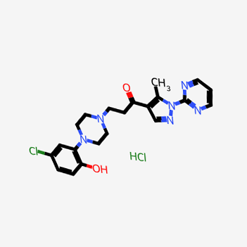 Cc1c(C(=O)CCN2CCN(c3cc(Cl)ccc3O)CC2)cnn1-c1ncccn1.Cl